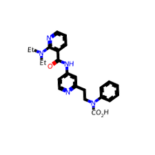 CCN(CC)c1ncccc1C(=O)Nc1ccnc(CCN(C(=O)O)c2ccccc2)c1